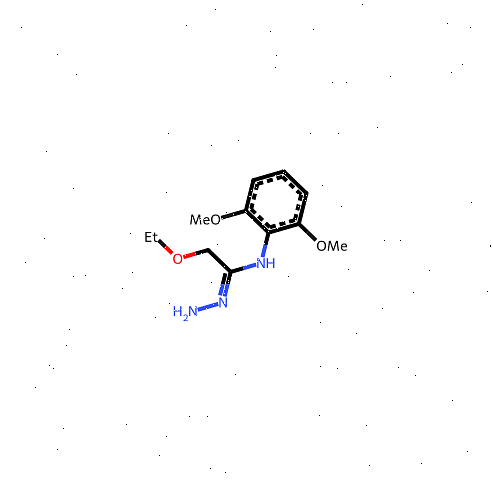 CCOC/C(=N\N)Nc1c(OC)cccc1OC